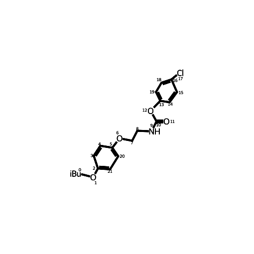 CCC(C)Oc1ccc(OCCNC(=O)Oc2ccc(Cl)cc2)cc1